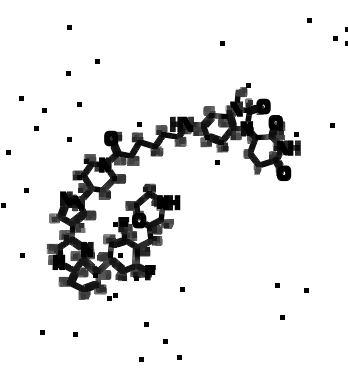 Cn1c(=O)n(C2CCC(=O)NC2=O)c2ccc(NCCCCCC(=O)N3CCC(n4cc(-c5cnc6cccc(-c7cc(F)c(CC8CNCCO8)c(F)c7)c6n5)cn4)CC3)cc21